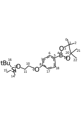 CC1(C)OB(c2ccc(OCCO[Si](C)(C)C(C)(C)C)cc2)OC1(C)C